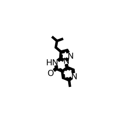 Cc1cc2c(=O)[nH]c3c(CC(C)C)cnn3c2cn1